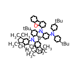 Cc1cc2c(cc1N1c3cc4c(cc3B3c5ccc(N(c6ccc(C(C)(C)C)cc6)c6ccc(C(C)(C)C)cc6)cc5N(c5cccc6c5oc5ccccc56)c5cc(C(C)(C)C)cc1c53)C(C)(C)CCC4(C)C)C(C)(C)CC2(C)C